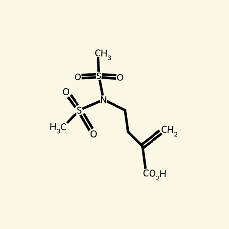 C=C(CCN(S(C)(=O)=O)S(C)(=O)=O)C(=O)O